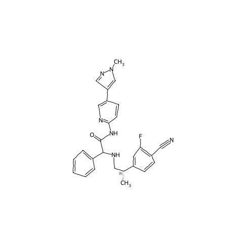 C[C@H](CNC(C(=O)Nc1ccc(-c2cnn(C)c2)cn1)c1ccccc1)c1ccc(C#N)c(F)c1